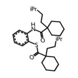 CC(C)CCC1(C(=O)Nc2ccccc2SC(=O)C2(CCC(C)C)CCCCC2)CCCCC1